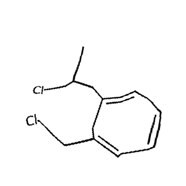 CC(Cl)c1ccccc1CCl